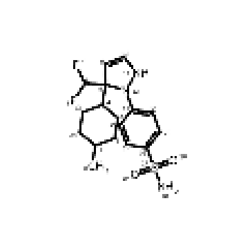 CC1CCC(C2(C(F)F)C=CNN2c2ccc(S(N)(=O)=O)cc2)CC1